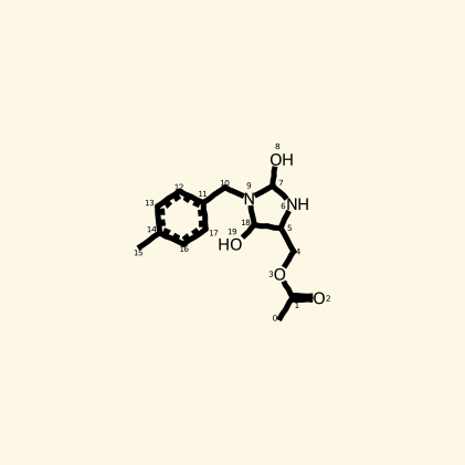 CC(=O)OCC1NC(O)N(Cc2ccc(C)cc2)C1O